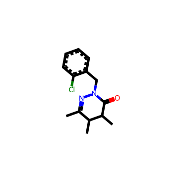 CC1=NN(Cc2ccccc2Cl)C(=O)C(C)C1C